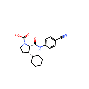 N#Cc1ccc(NC(=O)[C@@H]2[C@H](C3CCCCC3)CCN2C(=O)O)cc1